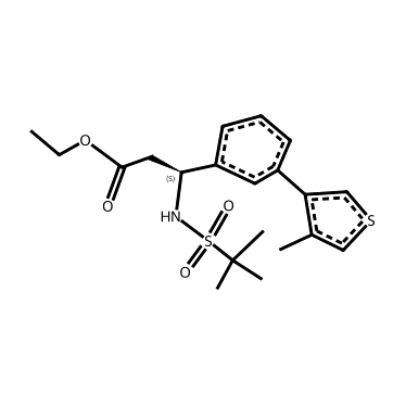 CCOC(=O)C[C@H](NS(=O)(=O)C(C)(C)C)c1cccc(-c2cscc2C)c1